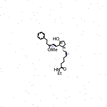 CCNC(=O)CCC/C=C\C[C@H]1CC[C@@H](O)C1/C=C/[C@H](CCc1ccccc1)OC